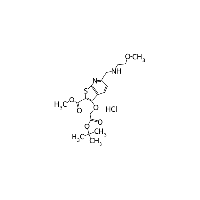 COCCNCc1ccc2c(OCC(=O)OC(C)(C)C)c(C(=O)OC)sc2n1.Cl